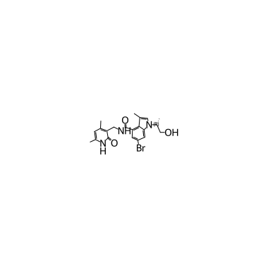 Cc1cc(C)c(CNC(=O)c2cc(Br)cc3c2c(C)cn3[C@H](C)CO)c(=O)[nH]1